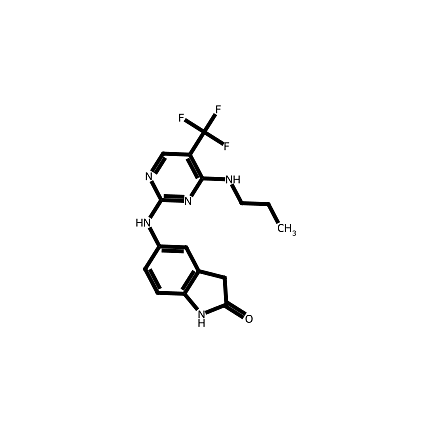 CCCNc1nc(Nc2ccc3c(c2)CC(=O)N3)ncc1C(F)(F)F